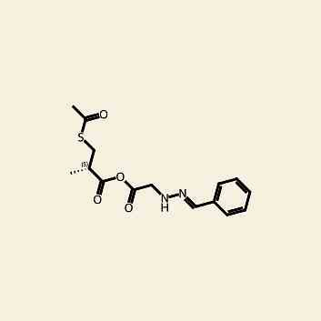 CC(=O)SC[C@@H](C)C(=O)OC(=O)CNN=Cc1ccccc1